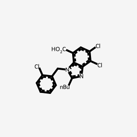 CCCCc1nc2c(Cl)c(Cl)cc(C(=O)O)c2n1Cc1ccccc1Cl